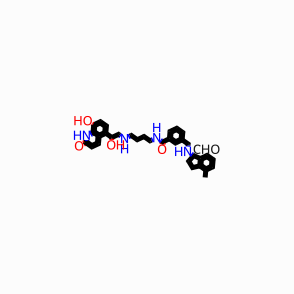 Cc1cccc2c1CCC2(C=O)NCc1cccc(C(=O)NCCCCNCC(O)c2ccc(O)c3[nH]c(=O)ccc23)c1